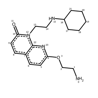 NCCOc1ccc2ccc(=O)n(CCNC3CCCCC3)c2n1